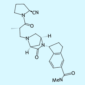 CNC(=O)c1ccc2c(c1)CC[C@H]2N1C(=O)[C@@H]2C[C@H]1CN2C[C@H](C)C(=O)N1CCC[C@H]1C#N